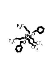 FC(F)(F)CC[CH2][Sn]([CH2]CCC(F)(F)F)([O]Cc1ccccc1)[O][Sn]([CH2]CCC(F)(F)F)([CH2]CCC(F)(F)F)[O]Cc1ccccc1